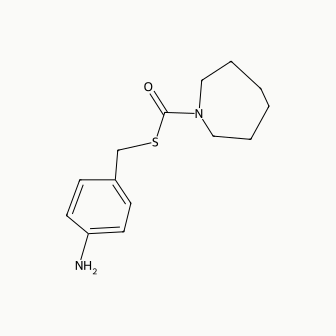 Nc1ccc(CSC(=O)N2CCCCCC2)cc1